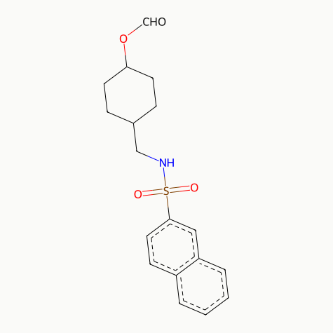 O=COC1CCC(CNS(=O)(=O)c2ccc3ccccc3c2)CC1